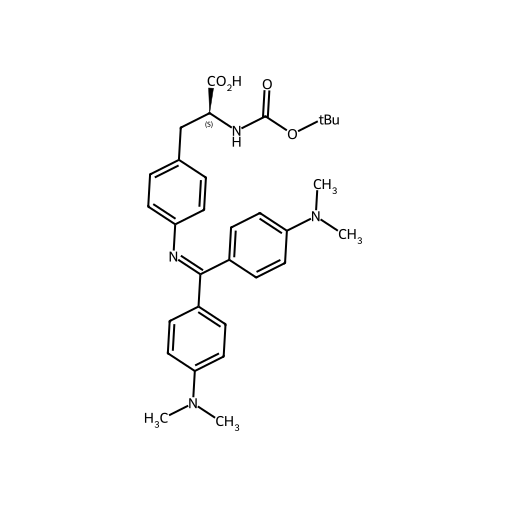 CN(C)c1ccc(C(=Nc2ccc(C[C@H](NC(=O)OC(C)(C)C)C(=O)O)cc2)c2ccc(N(C)C)cc2)cc1